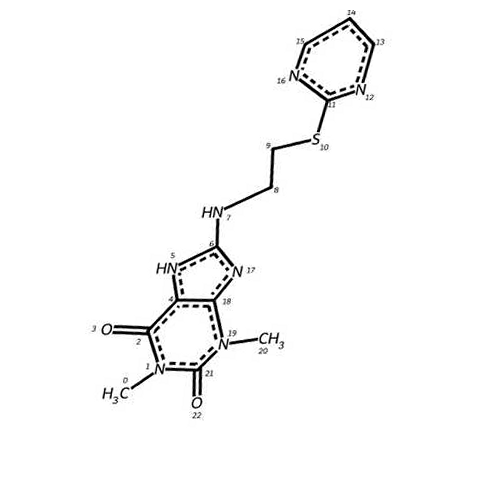 Cn1c(=O)c2[nH]c(NCCSc3ncccn3)nc2n(C)c1=O